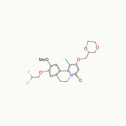 COc1cc2c(cc1OCC(F)F)CCn1c-2c(C)c(OCC2COCCO2)cc1=O